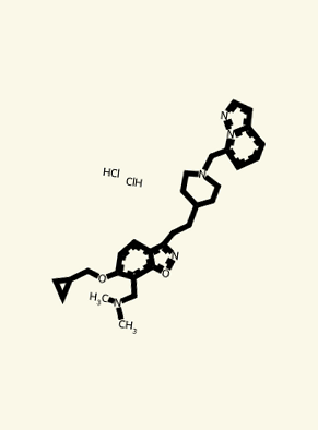 CN(C)Cc1c(OCC2CC2)ccc2c(CCC3CCN(Cc4cccc5ccnn45)CC3)noc12.Cl.Cl